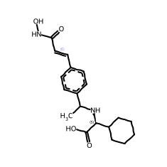 CC(N[C@H](C(=O)O)C1CCCCC1)c1ccc(/C=C/C(=O)NO)cc1